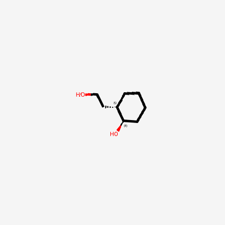 OCC[C@@H]1CCCC[C@H]1O